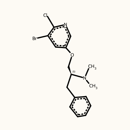 CN(C)[C@H](COc1cnc(Cl)c(Br)c1)Cc1ccccc1